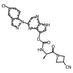 C[C@@H](NC(=O)Oc1c[nH]c2ncc(-n3ncc4cc(Cl)ccc43)nc12)C(=O)N1CC(C#N)C1